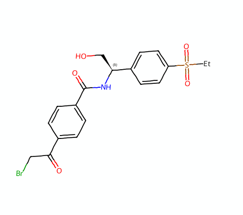 CCS(=O)(=O)c1ccc([C@H](CO)NC(=O)c2ccc(C(=O)CBr)cc2)cc1